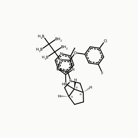 BC(B)(B)C(B)(B)n1nc(N[C@@H]2[C@@H]3CC[C@H]2CN(c2cc(C)ncn2)C3)nc1Oc1cc(F)cc(Cl)c1